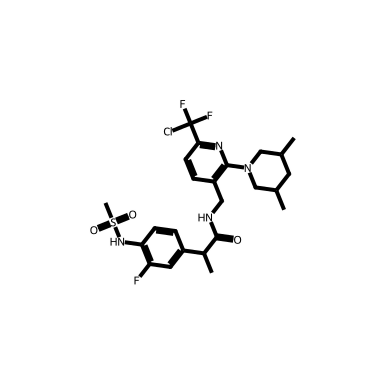 CC1CC(C)CN(c2nc(C(F)(F)Cl)ccc2CNC(=O)C(C)c2ccc(NS(C)(=O)=O)c(F)c2)C1